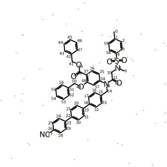 Cc1ccc(S(=O)(=O)N(C)CC(=O)N(Cc2ccc(-c3ccc(-c4ccc(C#N)cc4)cc3)cc2)c2ccc(C(=O)OCc3ccccc3)c(OCc3ccccc3)c2)cc1